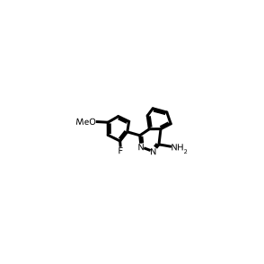 COc1ccc(-c2nnc(N)c3ccccc23)c(F)c1